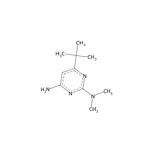 CN(C)c1nc(N)cc(C(C)(C)C)n1